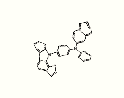 c1ccc(N(c2ccc(-n3c4ccccc4c4ccc5ccsc5c43)cc2)c2ccc3ccccc3c2)cc1